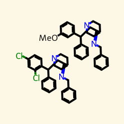 COc1cccc(C(c2ccccc2)C2C(=NCc3ccccc3)C3CCN2CC3)c1.Clc1ccc(C(c2ccccc2)C2C(=NCc3ccccc3)C3CCN2CC3)c(Cl)c1